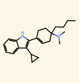 CCCCC1(N(C)C)CC=C(c2[nH]c3ccccc3c2C2CC2)CC1